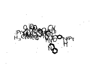 CC[C@H](C)C([C@@H](CC(=O)N1CCCC1[C@H](OC)[C@@H](C)C(=O)N[C@@H](Cc1ccc(NC(C)C)cc1)C(=O)Nc1cnc2ccccc2c1)OC)N(C)C(=O)[C@@H](NC(=O)C(C(C)C)N(C)C)C(C)C